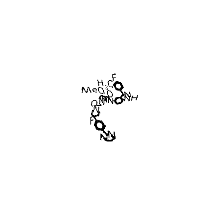 COC[C@@]1(C(=O)Nc2ccc3[nH]nc(-c4ccc(F)c(C)c4)c3c2)CCN(CC(=O)N2CCC(F)(c3ccc(-c4ncccn4)cc3)CC2)C1